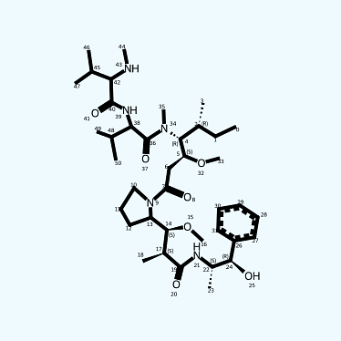 CC[C@@H](C)[C@H]([C@H](CC(=O)N1CCCC1[C@@H](OC)[C@H](C)C(=O)N[C@@H](C)[C@H](O)c1ccccc1)OC)N(C)C(=O)C(NC(=O)C(NC)C(C)C)C(C)C